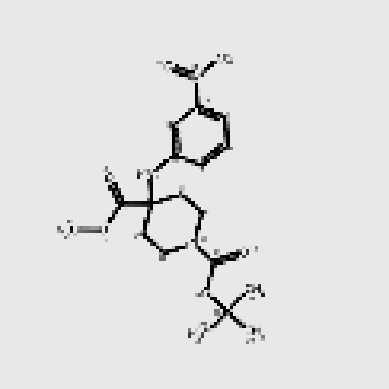 COC(=O)C1(Nc2cccc([N+](=O)[O-])c2)CCN(C(=O)OC(C)(C)C)CC1